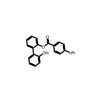 CCCc1ccc(C(=O)Oc2ccccc2-c2ccccc2O)cc1